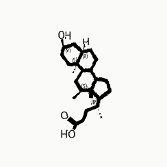 C[C@H](CCC(=O)O)C1CCC2C3CC[C@@H]4C[C@H](O)CC[C@]4(C)C3C[C@H](C)C21C